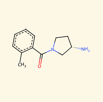 Cc1cc[c]cc1C(=O)N1CC[C@H](N)C1